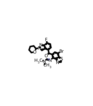 CN(C)/C=N/c1c(C(=O)c2ccc(F)c3nn(C4CCCCO4)cc23)cc(Br)c2scnc12